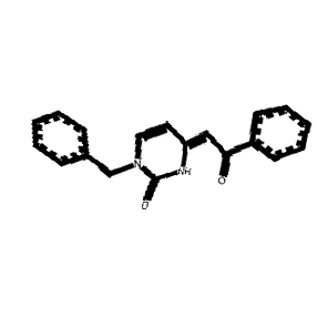 O=C(C=C1C=CN(Cc2ccccc2)C(=O)N1)c1ccccc1